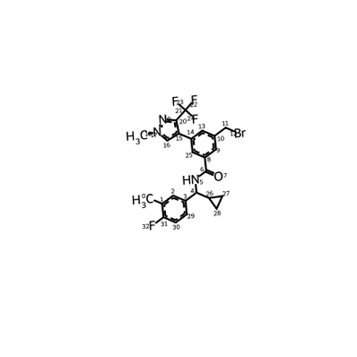 Cc1cc(C(NC(=O)c2cc(CBr)cc(-c3cn(C)nc3C(F)(F)F)c2)C2CC2)ccc1F